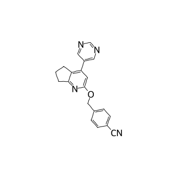 N#Cc1ccc(COc2cc(-c3cncnc3)c3c(n2)CCC3)cc1